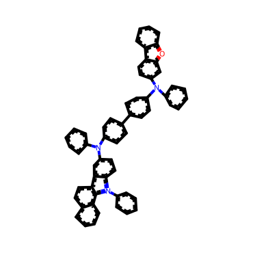 c1ccc(N(c2ccc(-c3ccc(N(c4ccccc4)c4ccc5c(c4)c4ccc6ccccc6c4n5-c4ccccc4)cc3)cc2)c2ccc3c(c2)oc2ccccc23)cc1